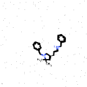 CC1(C)C[C@H](CCCNCc2ccccc2)CN1Cc1ccccc1